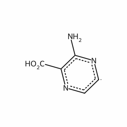 Nc1n[c]cnc1C(=O)O